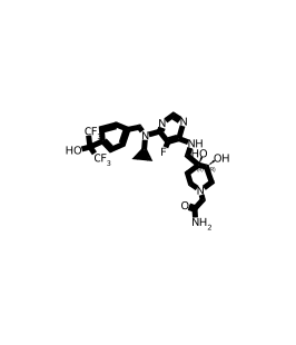 NC(=O)CN1CC[C@@](O)(CNc2ncnc(N(Cc3ccc(C(O)(C(F)(F)F)C(F)(F)F)cc3)C3CC3)c2F)[C@H](O)C1